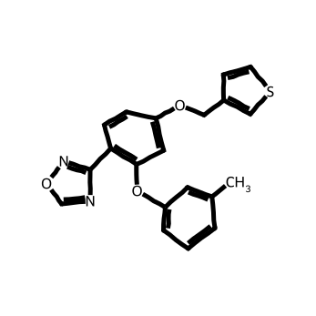 Cc1cccc(Oc2cc(OCc3ccsc3)ccc2-c2ncon2)c1